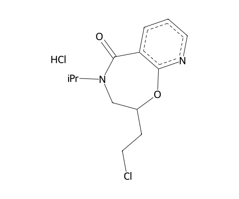 CC(C)N1CC(CCCl)Oc2ncccc2C1=O.Cl